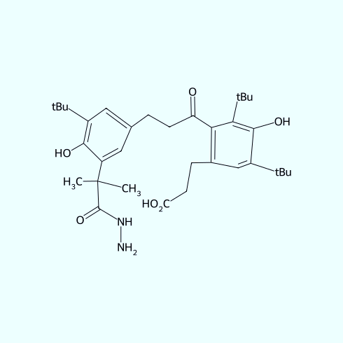 CC(C)(C)c1cc(CCC(=O)c2c(CCC(=O)O)cc(C(C)(C)C)c(O)c2C(C)(C)C)cc(C(C)(C)C(=O)NN)c1O